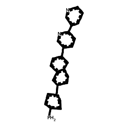 Pc1ccc(-c2ccc3cc(-c4ccc(-c5cccnc5)nc4)ccc3c2)cc1